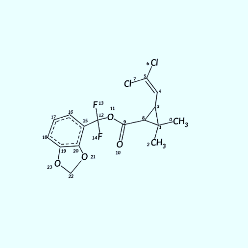 CC1(C)C(C=C(Cl)Cl)C1C(=O)OC(F)(F)c1cccc2c1OCO2